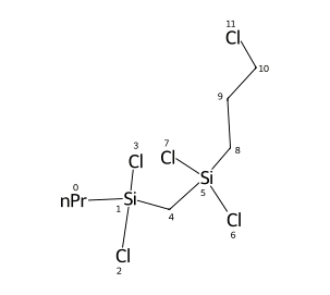 CCC[Si](Cl)(Cl)C[Si](Cl)(Cl)CCCCl